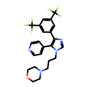 FC(F)(F)c1cc(-c2ncn(CCCN3CCOCC3)c2-c2ccncc2)cc(C(F)(F)F)c1